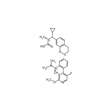 COc1cc(-c2ccc([C@H]3CCc4ccc(C(C5CC5)[C@H](C)C(=O)O)cc4O3)cc2[C@@H](C)N(C)C)c(F)cn1